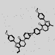 C=Cc1nn(-c2ccc(OC)cc2)c2c1CCN(c1ccc3c(c1)N3c1ccc(N3CCc4c(C)nn(-c5ccc(OC)cc5)c4C3=O)cc1)C2=O